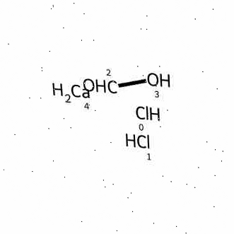 Cl.Cl.O=CO.[CaH2]